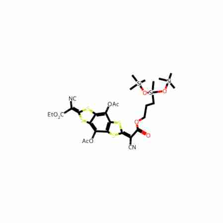 [C-]#[N+]C(C(=O)OCC)=C1Sc2c(OC(C)=O)c3c(c(OC(C)=O)c2S1)SC(=C(C#N)C(=O)OCCC[Si](C)(O[Si](C)(C)C)O[Si](C)(C)C)S3